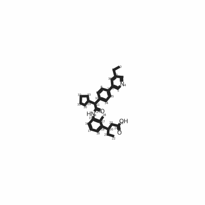 CCc1cncc(-c2ccc(C(C(=O)Nc3cccc(C(CC)CC(=O)O)c3C)C3CCCC3)cc2)c1